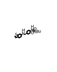 CC(C)(C)S(=O)(=O)Nc1ccc(CNc2ccc3ccsc3c2)cc1